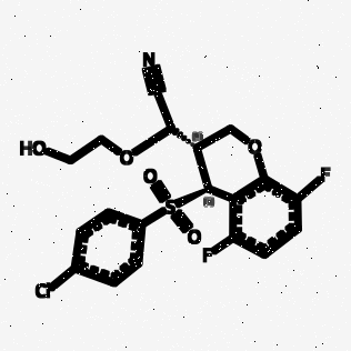 N#CC(OCCO)[C@@H]1COc2c(F)ccc(F)c2[C@H]1S(=O)(=O)c1ccc(Cl)cc1